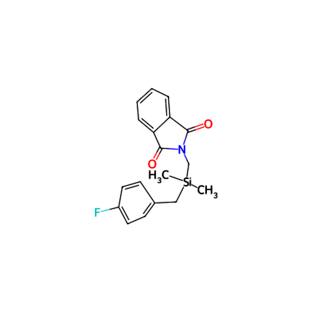 C[Si](C)(Cc1ccc(F)cc1)CN1C(=O)c2ccccc2C1=O